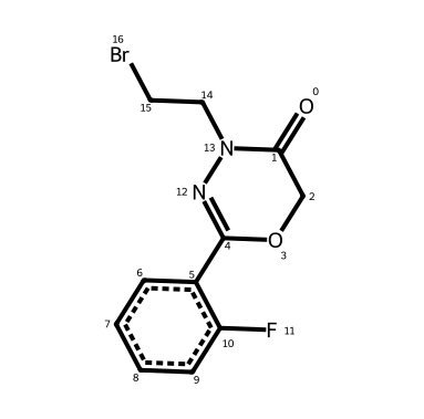 O=C1COC(c2ccccc2F)=NN1CCBr